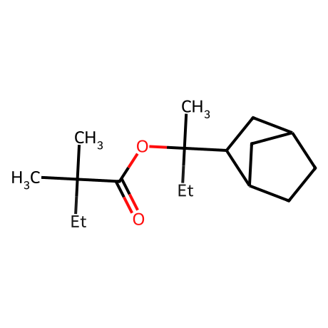 CCC(C)(C)C(=O)OC(C)(CC)C1CC2CCC1C2